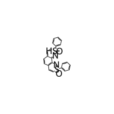 O=S1(c2ccccc2)=Nc2c(ccc3c2=N[SH](=O)(c2ccccc2)CC=3)C=C1